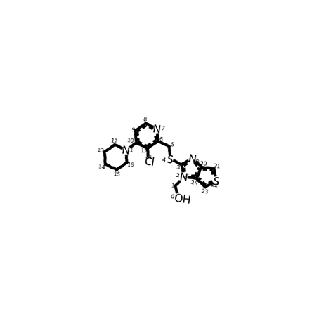 OCn1c(SCc2nccc(N3CCCCC3)c2Cl)nc2cscc21